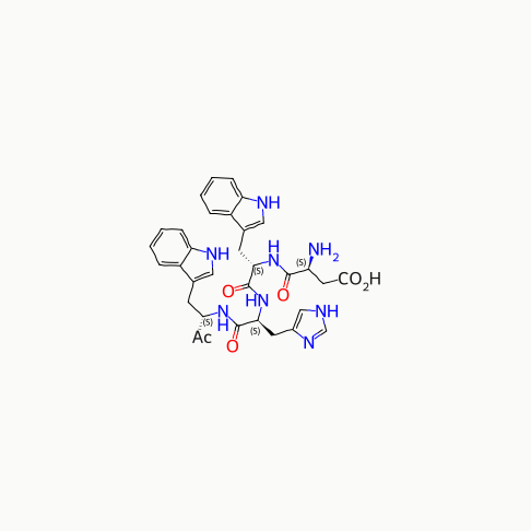 CC(=O)[C@H](Cc1c[nH]c2ccccc12)NC(=O)[C@H](Cc1c[nH]cn1)NC(=O)[C@H](Cc1c[nH]c2ccccc12)NC(=O)[C@@H](N)CC(=O)O